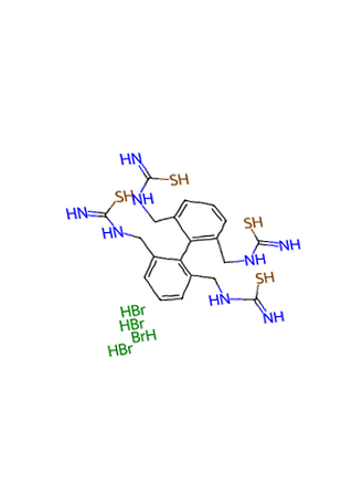 Br.Br.Br.Br.N=C(S)NCc1cccc(CNC(=N)S)c1-c1c(CNC(=N)S)cccc1CNC(=N)S